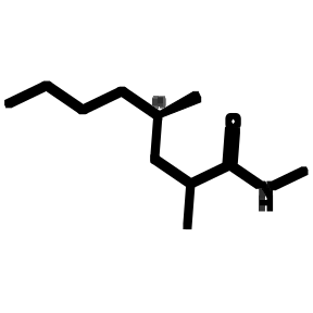 CCCC[C@@H](C)CC(C)C(=O)NC